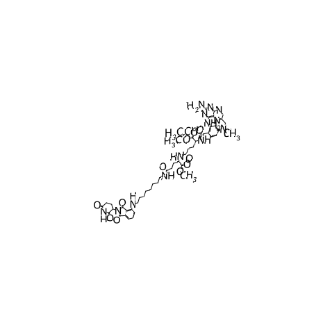 COC(=O)C(CCC(=O)NCCCCCCCCNc1cccc2c1C(=O)N(C1CCC(=O)NC1=O)C2=O)NC(=O)CCC(NC(=O)c1ccc(N(C)Cc2cnc3nc(N)nc(N)c3n2)cc1)C(=O)OC(C)(C)C